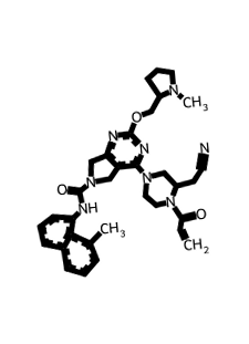 C=CC(=O)N1CCN(c2nc(OCC3CCCN3C)nc3c2CN(C(=O)Nc2cccc4cccc(C)c24)C3)CC1CC#N